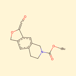 CC(C)(C)OC(=O)N1CCc2cc3c(cc2C1)C(=C=O)OC3